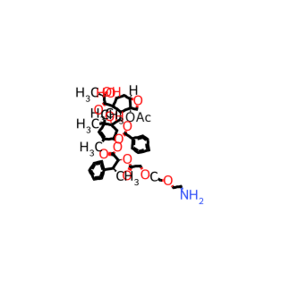 CC(=O)O[C@@]12CO[C@@H]1C[C@H](O)[C@@](C)(C(=O)[C@@H](C)O)[C@@H]2[C@H](OC(=O)c1ccccc1)[C@@]1(O)C[C@H](OC(=O)[C@H](OC(=O)COCCOCCN)[C@@H](C)c2ccccc2)C(C)=CC1(C)C